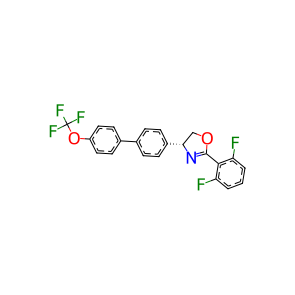 Fc1cccc(F)c1C1=N[C@H](c2ccc(-c3ccc(OC(F)(F)F)cc3)cc2)CO1